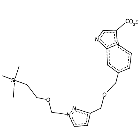 CCOC(=O)c1cnc2cc(COCc3ccn(COCC[Si](C)(C)C)n3)ccn12